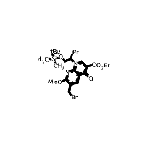 CCOC(=O)c1cn(C(CO[Si](C)(C)C(C)(C)C)C(C)C)c2nc(OC)c(CBr)cc2c1=O